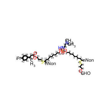 CCCCCCCCCC(CCCCCCCCOP(=O)(NCCN(C)C)OCCCCCCCCC(CCCCCCCCC)SCCCOC(=O)CC(C)c1ccc(C(C)C)cc1)SCCCOC=O